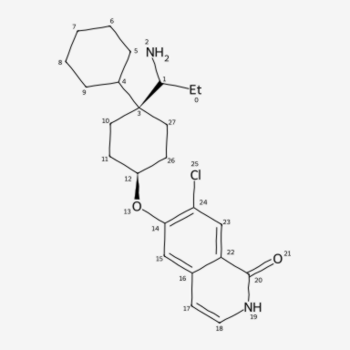 CCC(N)[C@]1(C2CCCCC2)CC[C@H](Oc2cc3cc[nH]c(=O)c3cc2Cl)CC1